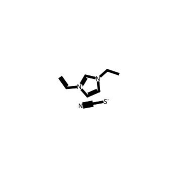 C=C[n+]1ccn(CC)c1.N#C[S-]